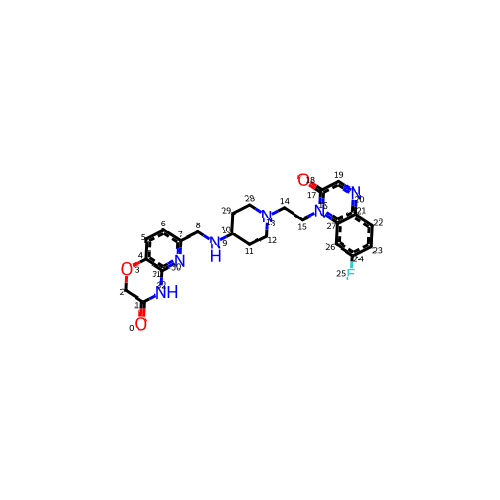 O=C1COc2ccc(CNC3CCN(CCn4c(=O)cnc5ccc(F)cc54)CC3)nc2N1